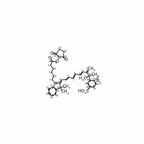 C=C(/C=C/C=C/C=C/C=C1/N(CCCCCC(=O)ON2C(=O)CCC2=O)c2ccccc2C1(C)C)C(C)(C)c1cc(S(=O)(=O)O)ccc1C